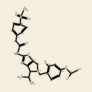 CC(C)C1c2nc(NC(=O)Cc3ccc(S(C)(=O)=O)cc3)sc2CN1Cc1ccc(OC(F)F)cc1F